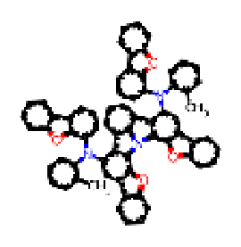 Cc1ccccc1N(c1cccc2c1oc1ccccc12)c1cc2c3ccccc3oc2c2c1c1cccc3c4c(N(c5ccccc5C)c5cccc6c5oc5ccccc56)cc5c6ccccc6oc5c4n2c13